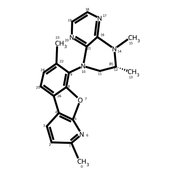 Cc1ccc2c(n1)oc1c(N3C[C@@H](C)N(C)c4nccnc43)c(C)ccc12